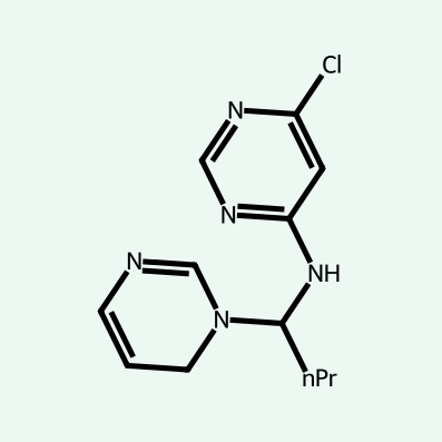 CCCC(Nc1cc(Cl)ncn1)N1C=NC=CC1